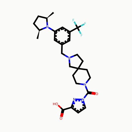 C[C@@H]1CC[C@H](C)N1c1cc(CN2CCC3(CCN(C(=O)n4ccc(C(=O)O)n4)CC3)C2)cc(C(F)(F)F)c1